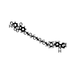 O=C1CCC(N2C(=O)c3ccc(OCCOCCOCCOCCOCCN4CCN(c5ccc6c(c5)[nH]c5ccncc56)CC4)cc3C2=O)C(=O)N1